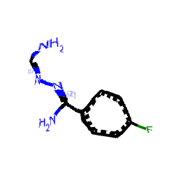 N/C=N\N=C(/N)c1ccc(F)cc1